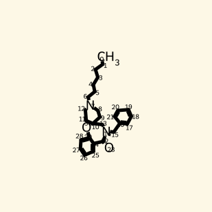 CCCCCCCN1CCC2(CC1)CN(Cc1ccccc1)C(=O)c1ccccc1O2